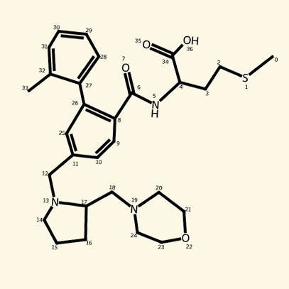 CSCCC(NC(=O)c1ccc(CN2CCCC2CN2CCOCC2)cc1-c1ccccc1C)C(=O)O